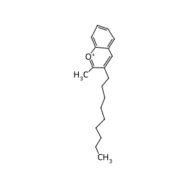 CCCCCCCCCc1cc2ccccc2[o+]c1C